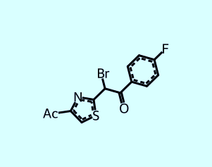 CC(=O)c1csc(C(Br)C(=O)c2ccc(F)cc2)n1